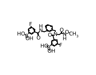 CONC(=O)CN(Cc1cccc(CNC(=O)c2cc(F)cc(B(O)O)c2)c1)C(=O)c1cc(F)cc(B(O)O)c1